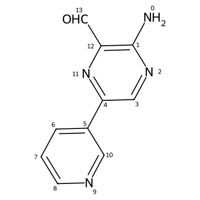 Nc1ncc(-c2cccnc2)nc1C=O